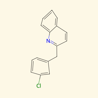 Clc1cccc(Cc2ccc3ccccc3n2)c1